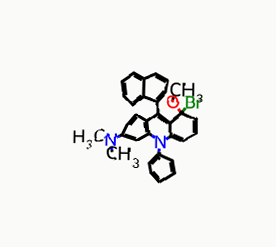 COC1(Br)C=CC=C2C1=C(c1cccc3ccccc13)c1ccc(N(C)C)cc1N2c1ccccc1